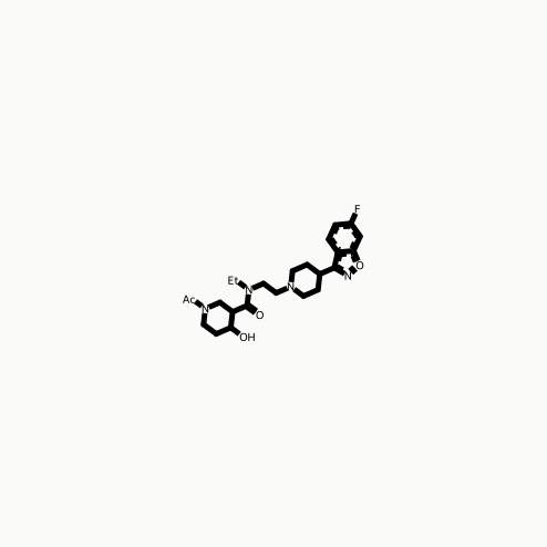 CCN(CCN1CCC(c2noc3cc(F)ccc23)CC1)C(=O)C1CN(C(C)=O)CCC1O